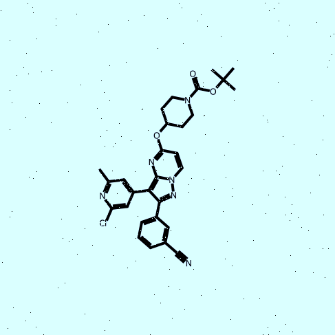 Cc1cc(-c2c(-c3cccc(C#N)c3)nn3ccc(OC4CCN(C(=O)OC(C)(C)C)CC4)nc23)cc(Cl)n1